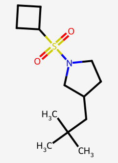 CC(C)(C)CC1CCN(S(=O)(=O)C2CCC2)C1